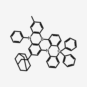 Cc1ccc2c(c1)N(c1ccccc1)c1cc(C34CC5CC(CC(C5)C3)C4)cc3c1B2c1cccc2c1N3c1ccccc1[Si]2(c1ccccc1)c1ccccc1